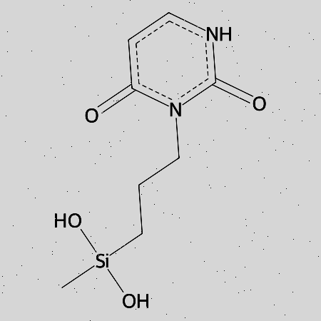 C[Si](O)(O)CCCn1c(=O)cc[nH]c1=O